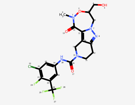 CN1OC(CO)Cn2nc3c(c2C1=O)CN(C(=O)Nc1cc(Cl)c(F)c(C(F)(F)F)c1)CC3